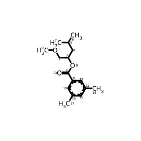 COCC(CC(C)C)OC(=O)c1cc(C)cc(C)c1